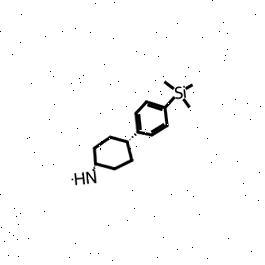 C[Si](C)(C)c1ccc([C@H]2CC[C@@H]([NH])CC2)cc1